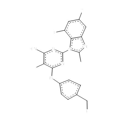 Cc1nc2cc(F)cc(F)c2n1-c1nc(N)c(F)c(Nc2ccc(CF)cc2)n1